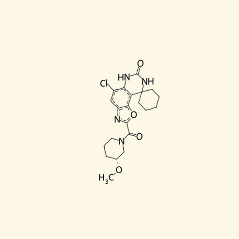 CO[C@@H]1CCCN(C(=O)c2nc3cc(Cl)c4c(c3o2)C2(CCCCC2)NC(=O)N4)C1